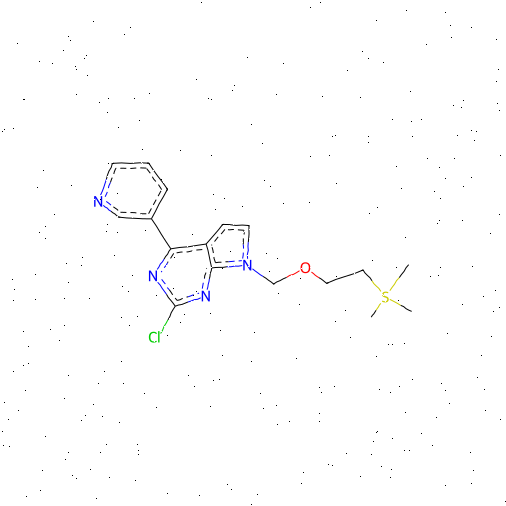 CS(C)(C)CCOCn1ccc2c(-c3cccnc3)nc(Cl)nc21